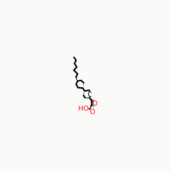 CCCCCCC[C@H]1CC[C@H]([C@H]2CC[C@H]([C@@H]3O[C@H]3C(=O)O)CC2)CC1